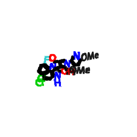 COc1cc(OC)c(-n2cc3c(c2C(C)C)[C@]2(c4ccc(Cl)cc4NC2O)N(c2cc(Cl)ccc2F)C3=O)cn1